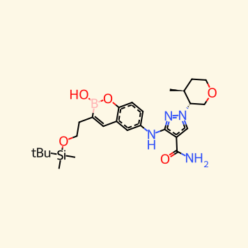 C[C@H]1CCOC[C@@H]1n1cc(C(N)=O)c(Nc2ccc3c(c2)C=C(CCO[Si](C)(C)C(C)(C)C)B(O)O3)n1